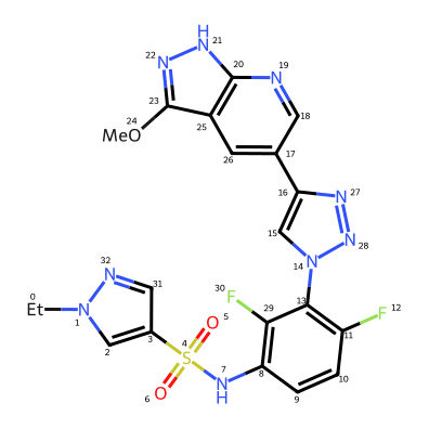 CCn1cc(S(=O)(=O)Nc2ccc(F)c(-n3cc(-c4cnc5[nH]nc(OC)c5c4)nn3)c2F)cn1